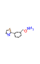 NOCc1cccc(-c2nccs2)c1